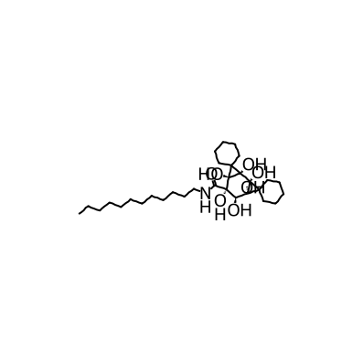 CCCCCCCCCCCCNC(=O)[C@]1(O)[C@H](O)[C@]2(O)C3(CCCCC3)[C@@]2(O)[C@@]2(O)C3(CCCCC3)[C@]21O